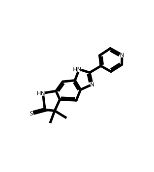 CC1(C)C(=S)Nc2cc3[nH]c(-c4ccncc4)nc3cc21